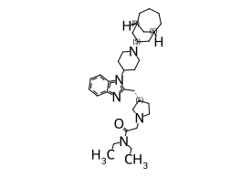 CCN(CC)C(=O)CN1CC[C@@H](Cc2nc3ccccc3n2C2CCN([C@@H]3C[C@@H]4CCCC[C@@H](C4)C3)CC2)C1